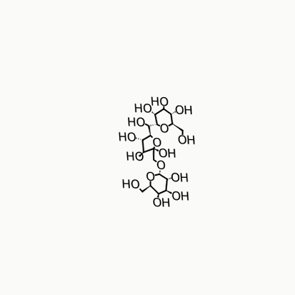 OC[C@H]1O[C@H](OC[C@@]2(O)O[C@H](C(O)[C@H]3O[C@H](CO)[C@@H](O)[C@H](O)[C@H]3O)[C@@H](O)[C@@H]2O)[C@H](O)[C@@H](O)[C@H]1O